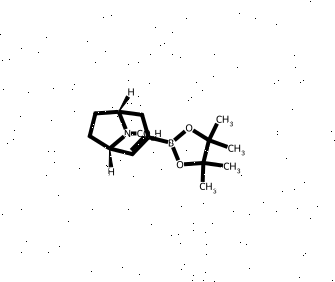 CC1(C)OB(C2=C[C@@H]3CC[C@H](C2)N3C(=O)O)OC1(C)C